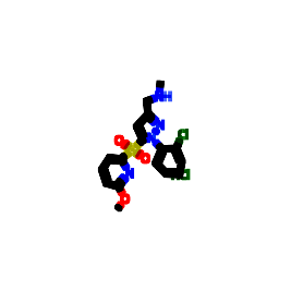 CNCc1cc(S(=O)(=O)c2cccc(OC)n2)n(-c2ccccc2Cl)n1.Cl